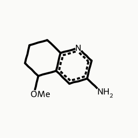 COC1CCCc2ncc(N)cc21